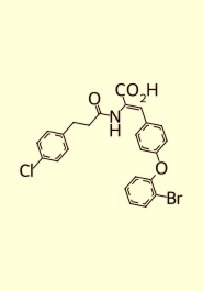 O=C(CCc1ccc(Cl)cc1)N/C(=C\c1ccc(Oc2ccccc2Br)cc1)C(=O)O